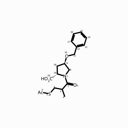 CC(=O)SCC(C)C(=O)N1C[C@H](OCc2ccccc2)C[C@H]1C(=O)O